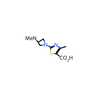 CNC1CN(c2nc(C)c(C(=O)O)s2)C1